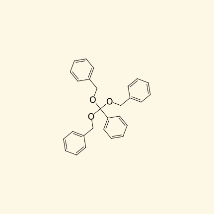 c1ccc(COC(OCc2ccccc2)(OCc2ccccc2)c2ccccc2)cc1